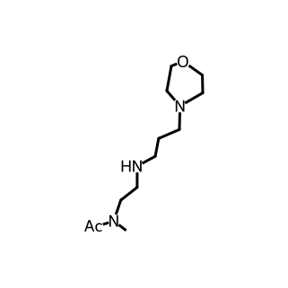 CC(=O)N(C)CCNCCCN1CCOCC1